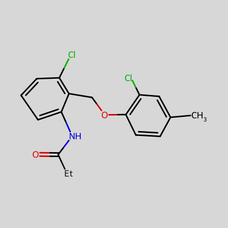 CCC(=O)Nc1cccc(Cl)c1COc1ccc(C)cc1Cl